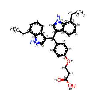 CCc1cccc2c(C(c3ccc(OCCC(=O)O)cc3)c3c[nH]c4c(CC)cccc34)c[nH]c12